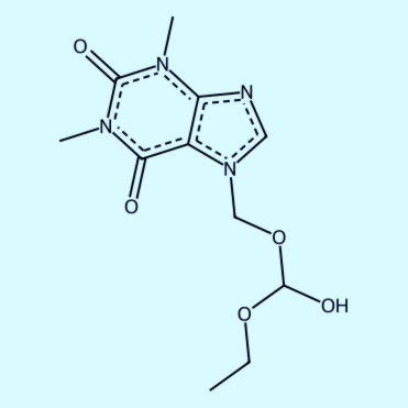 CCOC(O)OCn1cnc2c1c(=O)n(C)c(=O)n2C